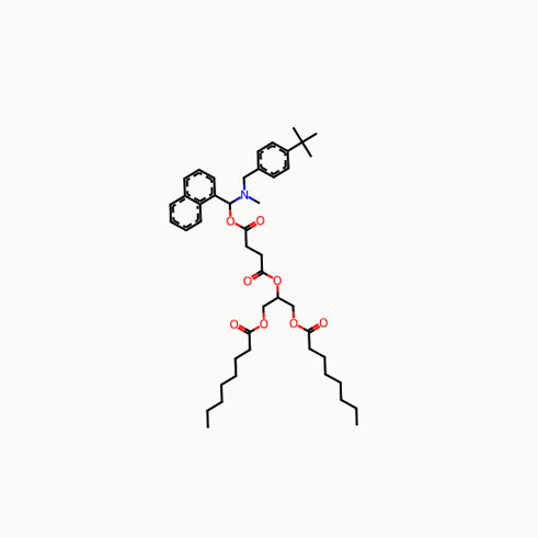 CCCCCCCC(=O)OCC(COC(=O)CCCCCCC)OC(=O)CCC(=O)OC(c1cccc2ccccc12)N(C)Cc1ccc(C(C)(C)C)cc1